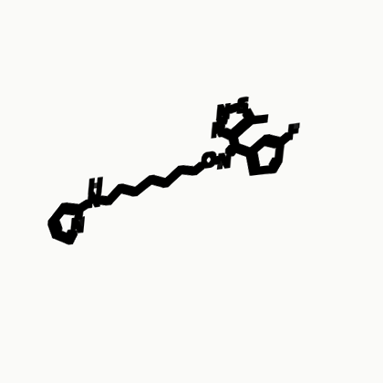 Cc1snnc1C(=NOCCCCCCCNc1ccccn1)c1cccc(F)c1